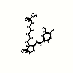 Cc1ccc(C=CC2CCC(=O)C2CCCCCCC(=O)O)cc1C